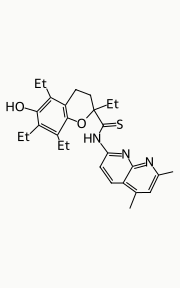 CCc1c(O)c(CC)c2c(c1CC)OC(CC)(C(=S)Nc1ccc3c(C)cc(C)nc3n1)CC2